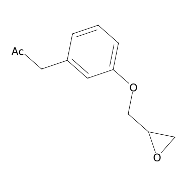 CC(=O)Cc1cccc(OCC2CO2)c1